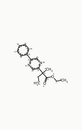 CCOC(=O)C(C)(CC)c1cnc(-c2ccccc2)cn1